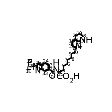 O=C(NC(CCCCCCCc1ccc2c(n1)NCCC2)C(=O)O)c1ccc2cn(C(F)F)nc2c1